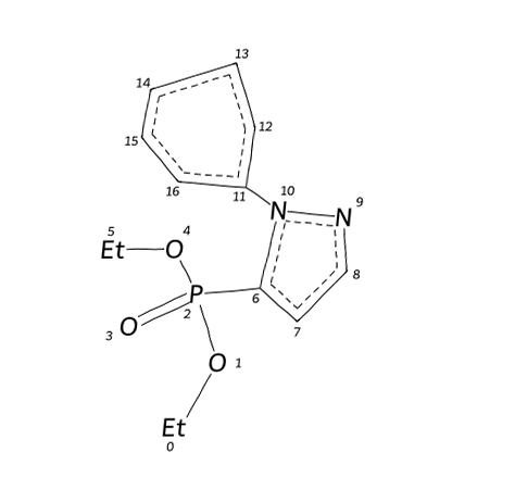 CCOP(=O)(OCC)c1ccnn1-c1ccccc1